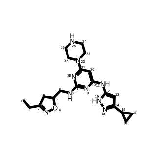 CCC1=NOC(CNc2nc(Nc3cc(C4CC4)n[nH]3)cc(N3CCNCC3)n2)C1